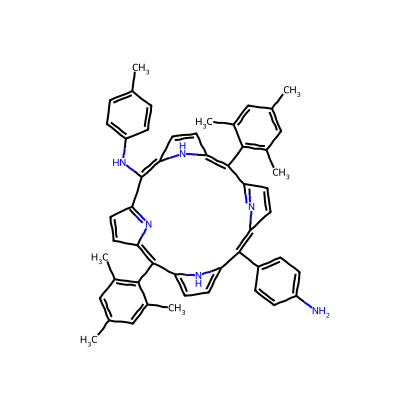 Cc1ccc(Nc2c3nc(c(-c4c(C)cc(C)cc4C)c4ccc([nH]4)c(-c4ccc(N)cc4)c4nc(c(-c5c(C)cc(C)cc5C)c5ccc2[nH]5)C=C4)C=C3)cc1